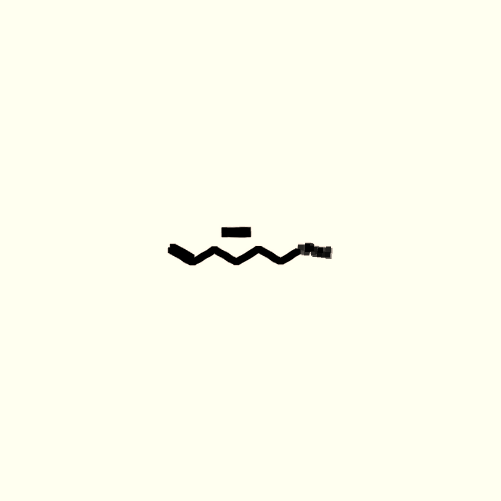 C=C.C=CCCCCCCCCC